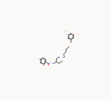 COc1cc(COCCCCCN2CCC(CNC(=O)c3cc(Cl)c(N)cc3OC)CC2)cc(OC)c1